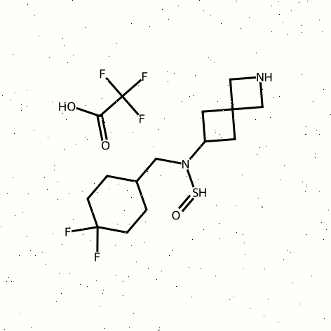 O=C(O)C(F)(F)F.O=[SH]N(CC1CCC(F)(F)CC1)C1CC2(CNC2)C1